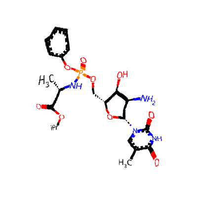 Cc1cn([C@@H]2O[C@H](COP(=O)(N[C@@H](C)C(=O)OC(C)C)Oc3ccccc3)[C@@H](O)[C@H]2N)c(=O)[nH]c1=O